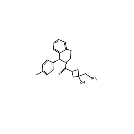 O=C(C1CC(O)(C[N+](=O)[O-])C1)N1CCc2ccccc2[C@@H]1c1ccc(F)cc1